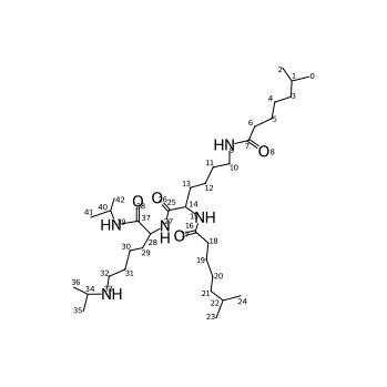 CC(C)CCCCC(=O)NCCCCC(NC(=O)CCCCC(C)C)C(=O)NC(CCCCNC(C)C)C(=O)NC(C)C